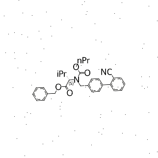 CCCOC(=O)N(Cc1ccc(-c2ccccc2C#N)cc1)[C@H](C(=O)OCc1ccccc1)C(C)C